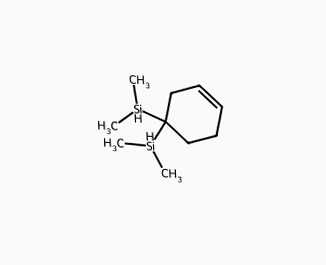 C[SiH](C)C1([SiH](C)C)CC=CCC1